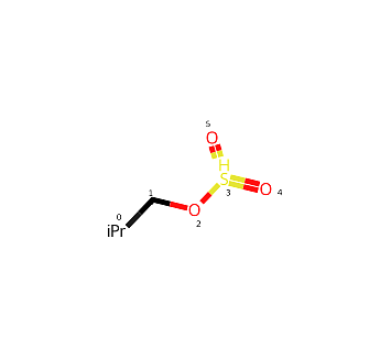 CC(C)[CH]O[SH](=O)=O